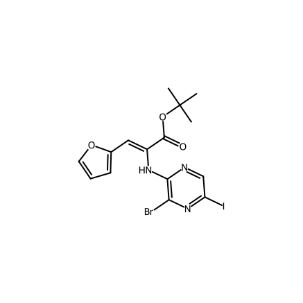 CC(C)(C)OC(=O)/C(=C/c1ccco1)Nc1ncc(I)nc1Br